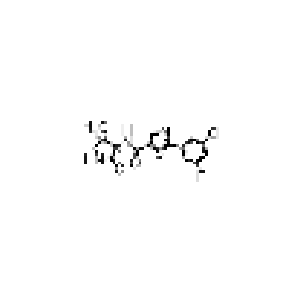 C[C@@H]1CNC(=O)[C@@H]1NC(=O)c1cnc(-c2cc(F)cc(Cl)c2)s1